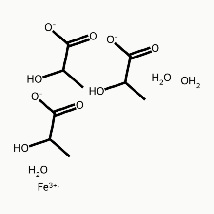 CC(O)C(=O)[O-].CC(O)C(=O)[O-].CC(O)C(=O)[O-].O.O.O.[Fe+3]